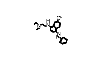 CCN(CC)CCNc1ccc(/N=N/c2ccccc2)c2ccc(OC)cc12